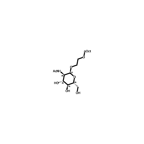 CCCCCCCCOCCO[C@H]1O[C@H](CO)[C@@H](O)[C@H](O)[C@H]1NC(C)=O